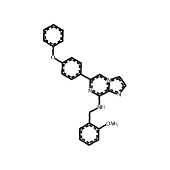 COc1ccccc1CNc1nc(-c2ccc(Oc3ccccc3)cc2)cn2ccnc12